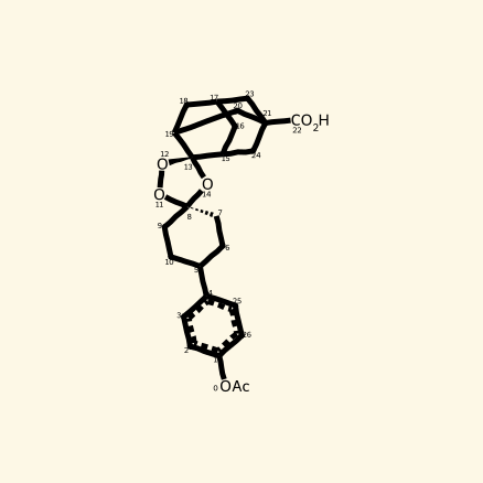 CC(=O)Oc1ccc(C2CC[C@]3(CC2)OO[C@]2(O3)C3CC4CC2CC(C(=O)O)(C4)C3)cc1